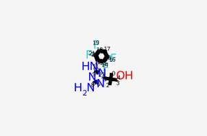 CC(C)(CO)c1nc(N)nc(Nc2c(F)c(F)cc(F)c2F)n1